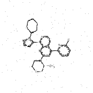 C[C@@H]1COCCN1c1cc(-c2cccc(F)n2)c2ccnc(-c3ccnn3C3CCCCO3)c2n1